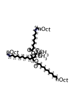 CCCCCCCCC=CCCCCCCCC(=O)OCC(CCCCCCCC/C=C\CCCCCCCC)(CC[N+](C)(C)C)COC(=O)CCCCCCC/C=C\CCCCCCCC